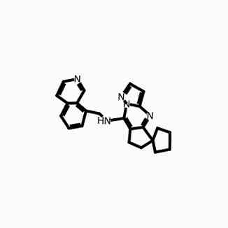 c1cc(CNc2c3c(nc4ccnn24)C2(CCCC2)CC3)c2cnccc2c1